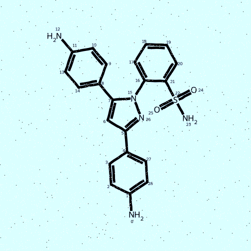 Nc1ccc(-c2cc(-c3ccc(N)cc3)n(-c3ccccc3S(N)(=O)=O)n2)cc1